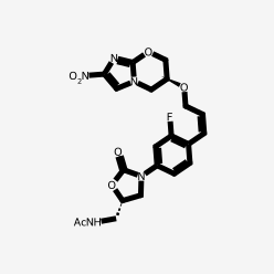 CC(=O)NC[C@H]1CN(c2ccc(/C=C\CO[C@@H]3COc4nc([N+](=O)[O-])cn4C3)c(F)c2)C(=O)O1